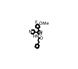 COc1cc(-c2noc(NC(=O)CCc3ccccc3)c2-c2ccncc2)ccc1F